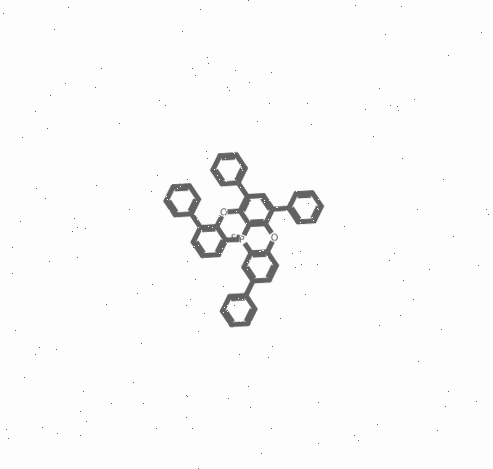 S=P12c3cc(-c4ccccc4)ccc3Oc3c(-c4ccccc4)cc(-c4ccccc4)c(c31)Oc1c(-c3ccccc3)cccc12